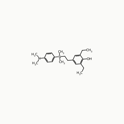 CCc1cc(CC[Si](C)(C)c2ccc(N(C)C)cc2)cc(CC)c1O